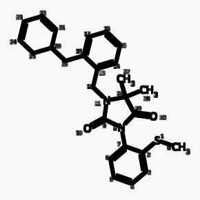 CSc1ccccc1N1C(=O)N(Cc2ccccc2CC2C=CC=CC2)C(C)(C)C1=O